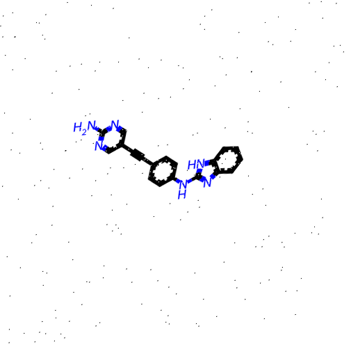 Nc1ncc(C#Cc2ccc(Nc3nc4ccccc4[nH]3)cc2)cn1